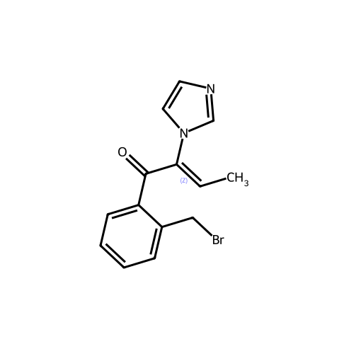 C/C=C(/C(=O)c1ccccc1CBr)n1ccnc1